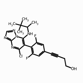 CC(Nc1c(-c2c(F)cc(C#CCCO)cc2F)c(Cl)nc2ncnn12)C(C)(C)C